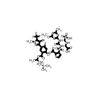 CC(C)OC(=O)c1cc(-c2nn(C)c(C(F)(F)F)c2Br)c(F)cc1Cl.COc1nc(C)nc(NC(=O)NS(=O)(=O)c2ccsc2C(=O)O)n1.C[S+](C)C.O=C(O)CNCP(=O)([O-])O